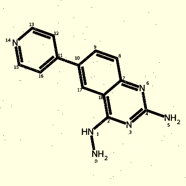 NNc1nc(N)nc2ccc(-c3ccncc3)cc12